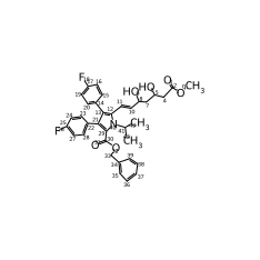 COC(=O)CC(O)CC(O)C=Cc1c(-c2ccc(F)cc2)c(-c2ccc(F)cc2)c(C(=O)OCc2ccccc2)n1C(C)C